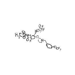 CS(=O)(=O)NC(=O)c1cc(C2CC2)c(OC2CCCN(Cc3cccc(OC(F)(F)F)c3)C2)cc1F.O=C(O)C(F)(F)F